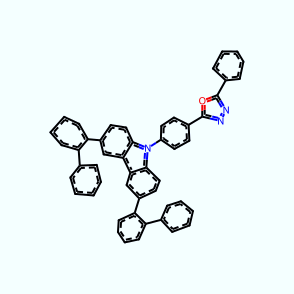 c1ccc(-c2nnc(-c3ccc(-n4c5ccc(-c6ccccc6-c6ccccc6)cc5c5cc(-c6ccccc6-c6ccccc6)ccc54)cc3)o2)cc1